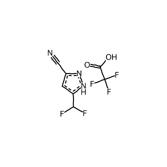 N#Cc1cc(C(F)F)[nH]n1.O=C(O)C(F)(F)F